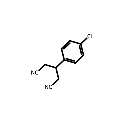 N#CCC(CC#N)c1ccc(Cl)cc1